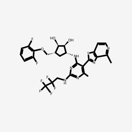 Cc1nc(NCC(F)(F)C(F)(F)F)nc(N[C@@H]2C[C@H](COc3c(F)cccc3F)[C@@H](O)[C@H]2O)c1-c1nc2c(C)nccc2s1